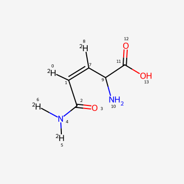 [2H]/C(C(=O)N([2H])[2H])=C(\[2H])C(N)C(=O)O